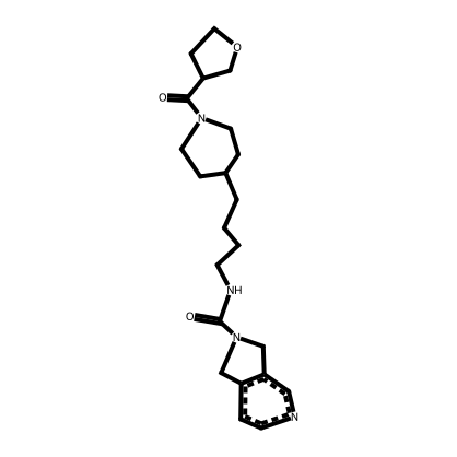 O=C(NCCCCC1CCN(C(=O)C2CCOC2)CC1)N1Cc2ccncc2C1